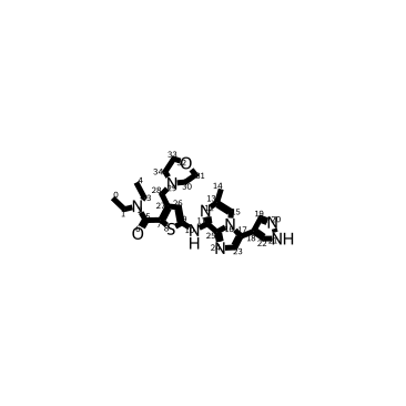 CCN(CC)C(=O)c1sc(Nc2nc(C)cn3c(-c4cn[nH]c4)cnc23)cc1CN1CCOCC1